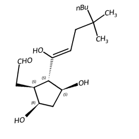 CCCCC(C)(C)CC=C(O)[C@H]1[C@H](CC=O)[C@H](O)C[C@@H]1O